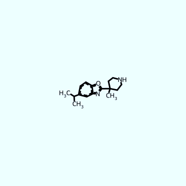 CC(C)c1ccc2oc(C3(C)CCNCC3)nc2c1